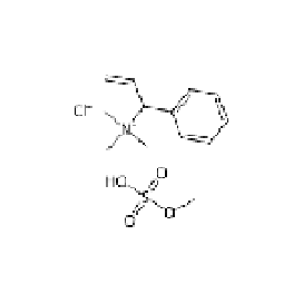 C=CC(c1ccccc1)[N+](C)(C)C.COS(=O)(=O)O.[Cl-]